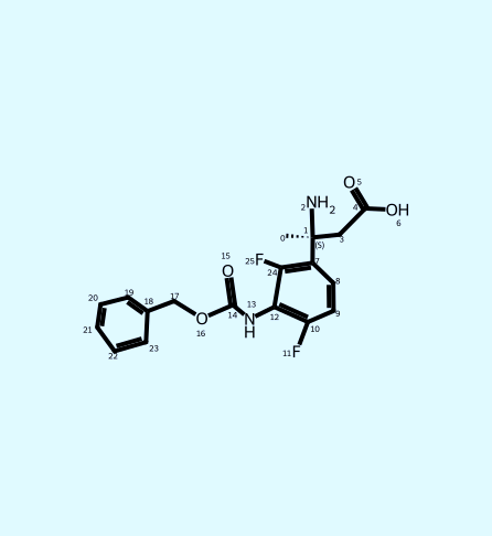 C[C@](N)(CC(=O)O)c1ccc(F)c(NC(=O)OCc2ccccc2)c1F